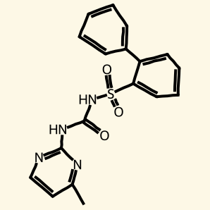 Cc1ccnc(NC(=O)NS(=O)(=O)c2ccccc2-c2ccccc2)n1